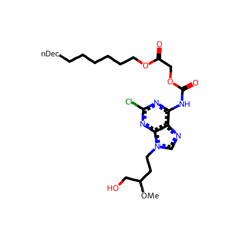 CCCCCCCCCCCCCCCCOC(=O)COC(=O)Nc1nc(Cl)nc2c1ncn2CCC(CO)OC